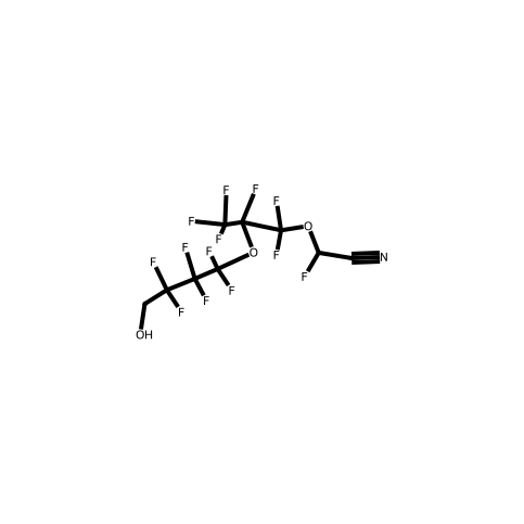 N#CC(F)OC(F)(F)C(F)(OC(F)(F)C(F)(F)C(F)(F)CO)C(F)(F)F